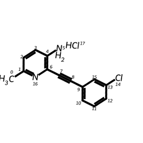 Cc1ccc(N)c(C#Cc2cccc(Cl)c2)n1.Cl